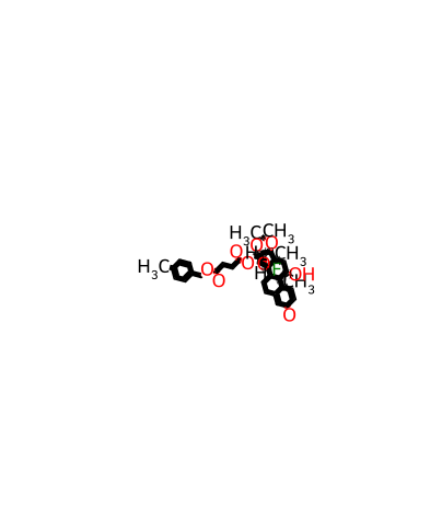 Cc1ccc(COC(=O)CCC(=O)OCC(=O)[C@@]23OC(C)(C)O[C@@H]2C[C@H]2C4CCC5=CC(=O)C=C[C@]5(C)[C@@]4(F)[C@@H](O)C[C@@]23C)cc1